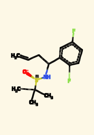 C=CCC(N[S@+]([O-])C(C)(C)C)c1cc(F)ccc1F